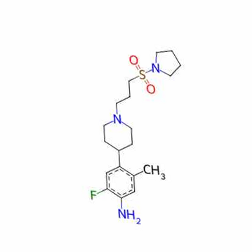 Cc1cc(N)c(F)cc1C1CCN(CCCS(=O)(=O)N2CCCC2)CC1